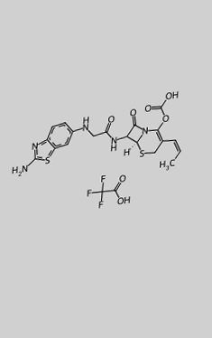 C/C=C\C1=C(OC(=O)O)N2C(=O)C(NC(=O)CNc3ccc4nc(N)sc4c3)[C@@H]2SC1.O=C(O)C(F)(F)F